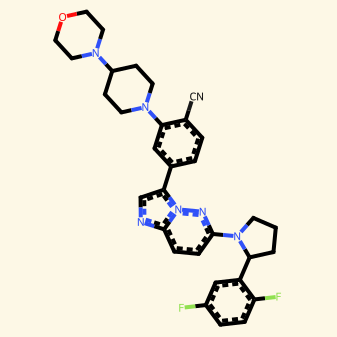 N#Cc1ccc(-c2cnc3ccc(N4CCCC4c4cc(F)ccc4F)nn23)cc1N1CCC(N2CCOCC2)CC1